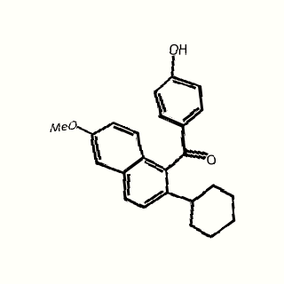 COc1ccc2c(C(=O)c3ccc(O)cc3)c(C3CCCCC3)ccc2c1